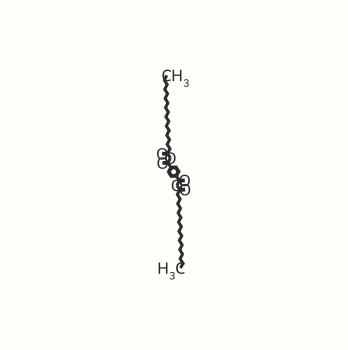 CCCCCCCCCCCCCCCCCC(=O)OC(=O)c1ccc(C(=O)OC(=O)CCCCCCCCCCCCCCCCC)cc1